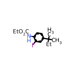 CCOC(=O)Nc1ccc(C(C)(C)CC)cc1I